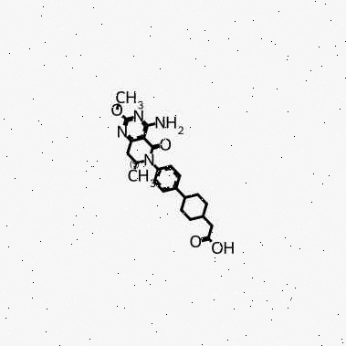 COc1nc(N)c2c(n1)C[C@H](C)N(c1ccc(C3CCC(CC(=O)O)CC3)cc1)C2=O